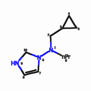 CCCN(CC1CC1)N1C=CNC1